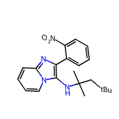 CC(C)(C)CC(C)(C)Nc1c(-c2ccccc2[N+](=O)[O-])nc2ccccn12